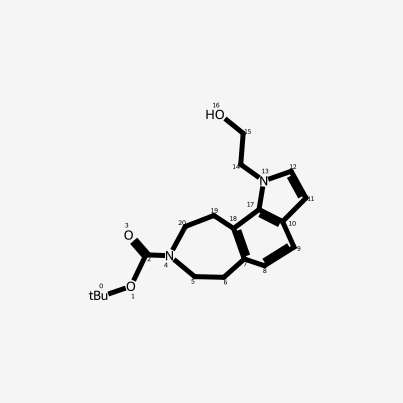 CC(C)(C)OC(=O)N1CCc2ccc3ccn(CCO)c3c2CC1